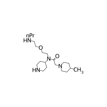 CCCNCCOCCN(C(=O)CN1CCC(C)CC1)C1CCNCC1